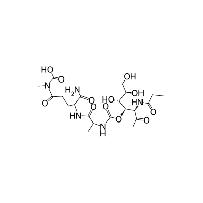 CCC(=O)N[C@@H](C(C)=O)[C@@H](OC(=O)NC(C)C(=O)NC(CCC(=O)N(C)C(=O)O)C(N)=O)[C@H](O)[C@H](O)CO